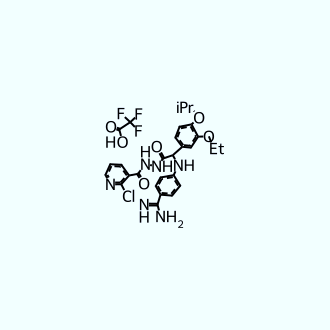 CCOc1cc(C(Nc2ccc(C(=N)N)cc2)C(=O)NNC(=O)c2cccnc2Cl)ccc1OC(C)C.O=C(O)C(F)(F)F